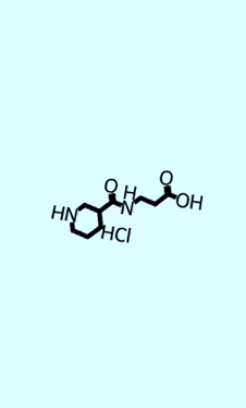 Cl.O=C(O)CCNC(=O)C1CCCNC1